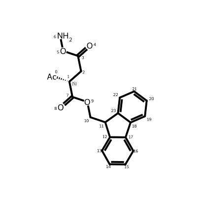 CC(=O)[C@H](CC(=O)ON)C(=O)OCC1c2ccccc2-c2ccccc21